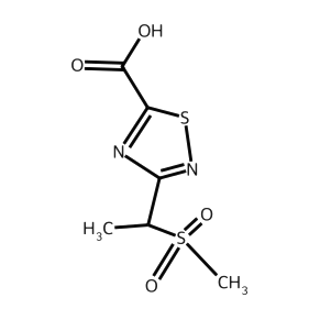 CC(c1nsc(C(=O)O)n1)S(C)(=O)=O